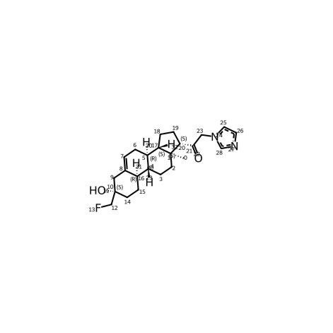 C[C@]12CC[C@H]3[C@@H](CC=C4C[C@](O)(CF)CC[C@@H]43)[C@@H]1CC[C@@H]2C(=O)Cn1ccnc1